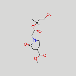 COCCC(C)(C)OC(=O)CN1CCC(C(=O)OC)CC1=O